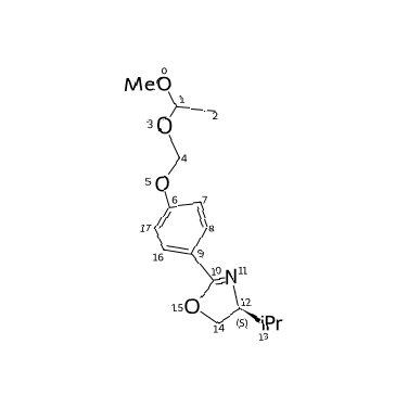 COC(C)OCOc1ccc(C2=N[C@@H](C(C)C)CO2)cc1